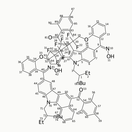 CCCCC(CC)Cn1c2ccc(/C(=N\O)c3ccccc3OCC(F)(F)C(F)(F)C(F)(F)C(F)(F)COc3ccccc3/C(=N/O)c3ccc4c(c3)c3cc(C(=O)c5c(C)cc(C)cc5C)c5ccccc5c3n4CC(CC)CCCC)cc2c2cc(C(=O)c3c(C)cc(C)cc3C)c3ccccc3c21